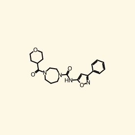 O=C(Nc1cc(-c2ccccc2)no1)N1CCCN(C(=O)C2CCOCC2)CC1